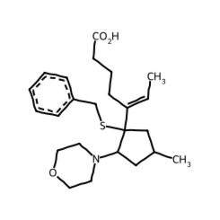 CC=C(CCCC(=O)O)C1(SCc2ccccc2)CC(C)CC1N1CCOCC1